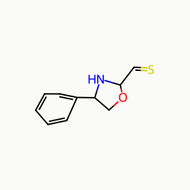 S=CC1NC(c2ccccc2)CO1